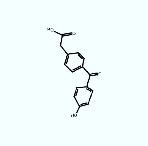 O=C(O)Cc1ccc(C(=O)c2ccc(O)cc2)cc1